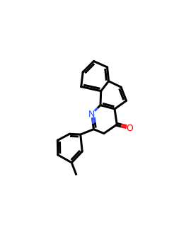 Cc1cccc(C2=Nc3c(ccc4ccccc34)C(=O)C2)c1